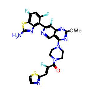 COc1nc(N2CCN(C(=O)/C(F)=C/c3nccs3)CC2)c2cnc(-c3c(F)cc(F)c4sc(N)nc34)c(F)c2n1